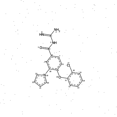 N=C(N)NC(=O)c1ccc(Oc2ccccc2Cl)c(-n2cccc2)c1